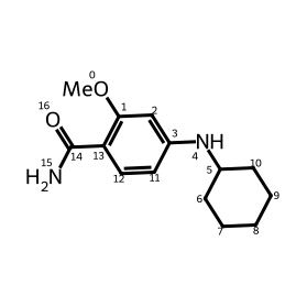 COc1cc(NC2CCCCC2)ccc1C(N)=O